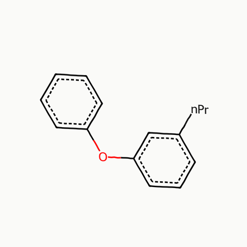 CCCc1cccc(Oc2ccccc2)c1